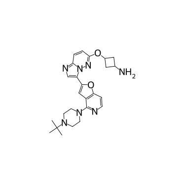 CC(C)(C)N1CCN(c2nccc3oc(-c4cnc5ccc(OC6CC(N)C6)nn45)cc23)CC1